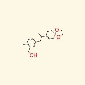 Cc1ccc(CC(C)C2=CCC3(CC2)OCCO3)cc1CO